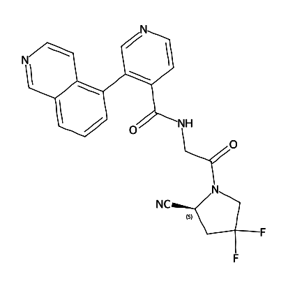 N#C[C@@H]1CC(F)(F)CN1C(=O)CNC(=O)c1ccncc1-c1cccc2cnccc12